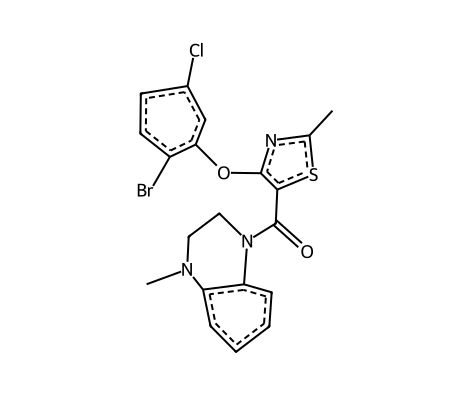 Cc1nc(Oc2cc(Cl)ccc2Br)c(C(=O)N2CCN(C)c3ccccc32)s1